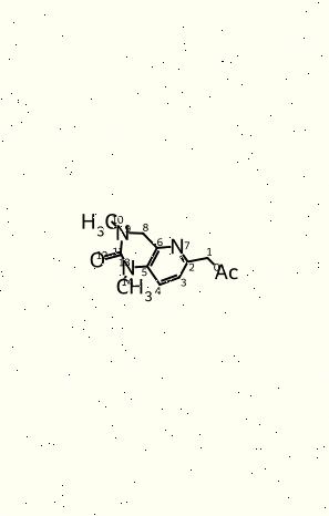 CC(=O)Cc1ccc2c(n1)CN(C)C(=O)N2C